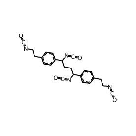 O=C=NCCc1ccc(C(CCC(N=C=O)c2ccc(CCN=C=O)cc2)N=C=O)cc1